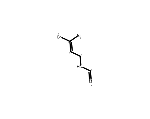 O=[C]NCC=C(Br)Br